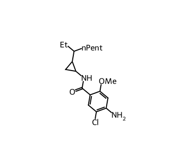 CCCCCC(CC)C1CC1NC(=O)c1cc(Cl)c(N)cc1OC